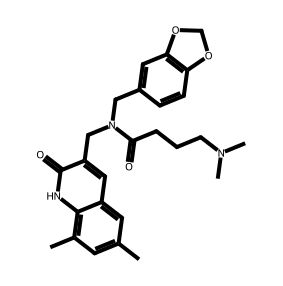 Cc1cc(C)c2[nH]c(=O)c(CN(Cc3ccc4c(c3)OCO4)C(=O)CCCN(C)C)cc2c1